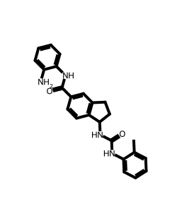 Cc1ccccc1NC(=O)NC1CCc2cc(C(=O)Nc3ccccc3N)ccc21